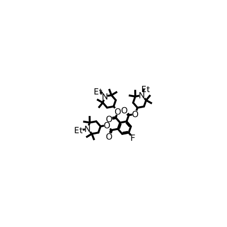 CCN1C(C)(C)CC(OC(=O)c2cc(F)cc(C(=O)OC3CC(C)(C)N(CC)C(C)(C)C3)c2C(=O)OC2CC(C)(C)N(CC)C(C)(C)C2)CC1(C)C